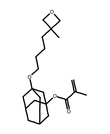 C=C(C)C(=O)OC12CC3CC(CC(OCCCCC4(C)COC4)(C3)C1)C2